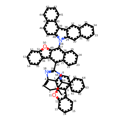 CC1C/C=C(c2cccc3c2oc2ccccc23)/N=C(c2c3ccccc3c(-n3c4cc5ccccc5cc4c4c5ccccc5ccc43)c3oc4ccccc4c23)\N=C/1c1ccccc1